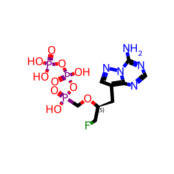 Nc1ncnc2c(C[C@@H](CF)OCP(=O)(O)OP(=O)(O)OP(=O)(O)O)cnn12